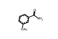 CC(=O)Oc1c[c]cc(C(N)=O)c1